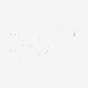 Cc1ccc(C2CCC(c3ccccc3Br)=N2)c(C)c1